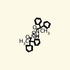 CC(C(=O)NONC(=O)C(C)(c1ccccc1)c1ccccc1)(c1ccccc1)c1ccccc1